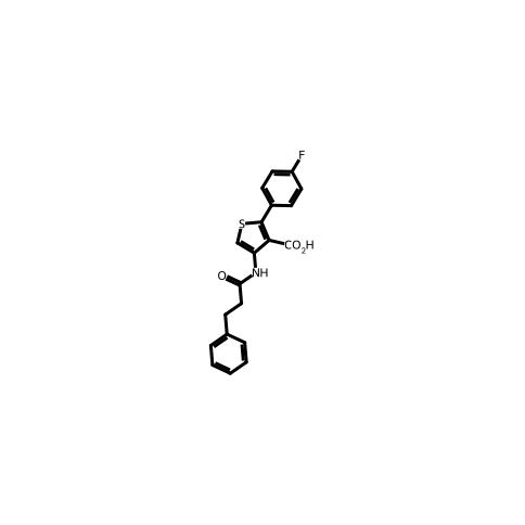 O=C(CCc1ccccc1)Nc1csc(-c2ccc(F)cc2)c1C(=O)O